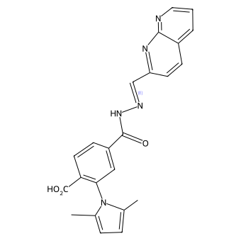 Cc1ccc(C)n1-c1cc(C(=O)N/N=C/c2ccc3cccnc3n2)ccc1C(=O)O